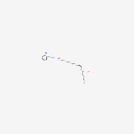 CCCCCCC(C/C=C\CCCCCCCC(=O)NCCCc1ccccc1C(C)(C)N)OCCO.Cl